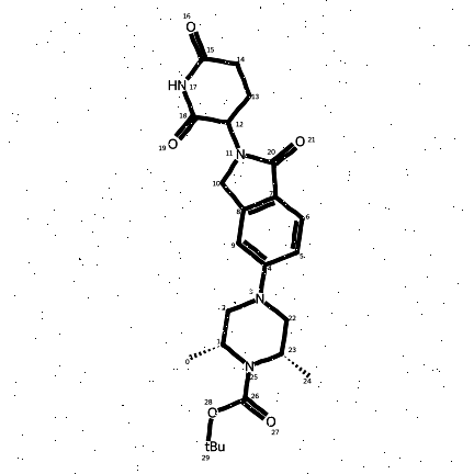 C[C@@H]1CN(c2ccc3c(c2)CN(C2CCC(=O)NC2=O)C3=O)C[C@H](C)N1C(=O)OC(C)(C)C